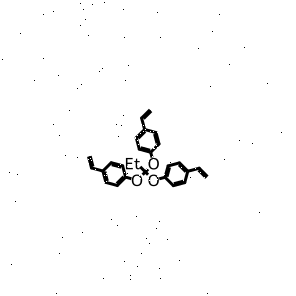 C=Cc1ccc(OC(CC)(Oc2ccc(C=C)cc2)Oc2ccc(C=C)cc2)cc1